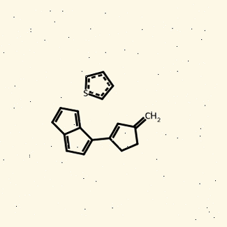 C=C1C=C(C2=CC=C3C=CC=C32)CC1.c1ccsc1